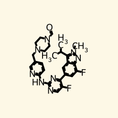 CC(C)c1c2cc(-c3nc(Nc4ccc(CN5CCN(C=O)CC5)cn4)ncc3F)cc(F)c2nn1C